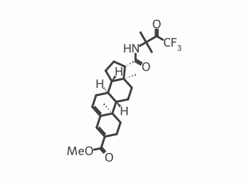 COC(=O)C1=CC2=CC[C@H]3[C@@H]4CC[C@H](C(=O)NC(C)(C)C(=O)C(F)(F)F)[C@@]4(C)CC[C@@H]3[C@@]2(C)CC1